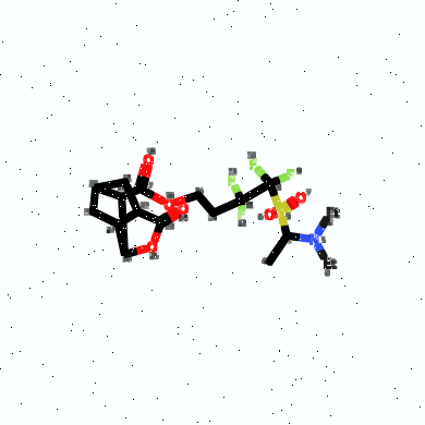 CCN(CC)C(C)S(=O)(=O)C(F)(F)C(F)(F)CCOC(=O)C1C2CC3C(=O)OC1C3C2